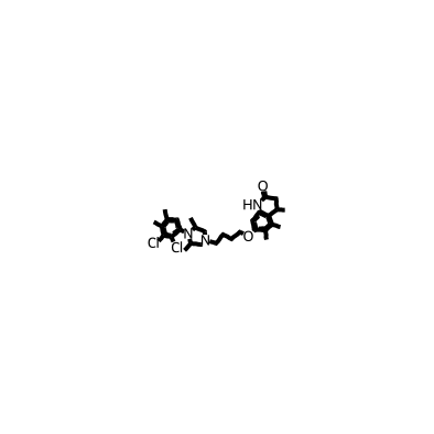 Cc1cc(N2C(C)CN(CCCCOc3cc4c(c(C)c3C)C(C)CC(=O)N4)CC2C)c(Cl)c(Cl)c1C